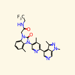 Cc1cc(-c2cncc3c2c(C)nn3C)ncc1-n1c(=O)n(CC(=O)NCC(F)(F)F)c2cccc(C)c21